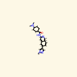 CN(C)C1CCC(C(=O)Nc2cc3cc(-c4cnn(C)c4)ccc3cn2)CC1